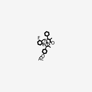 CC(=O)COc1ccc(-c2nc3n(Cc4c(F)cccc4F)c(-c4ccccc4)c(C)c(=O)n3c2C)cc1